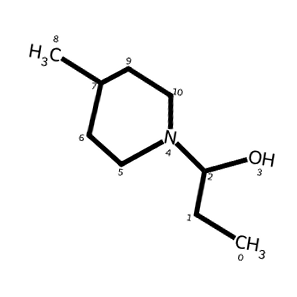 CCC(O)N1CCC(C)CC1